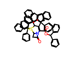 O=C(OC(c1ccccc1)c1ccccc1)C1=C(C(c2ccccc2)(c2ccccc2)c2ccccc2)C(C(c2ccccc2)(c2ccccc2)c2ccccc2)[SH](C(c2ccccc2)(c2ccccc2)c2ccccc2)C2CC(=O)N12